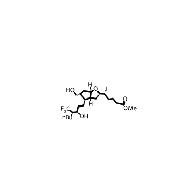 CCCC[C@H]([C@H](O)/C=C/[C@H]1[C@H](CO)C[C@@H]2O[C@@H]([C@H](I)CCCC(=O)OC)C[C@H]12)C(F)(F)F